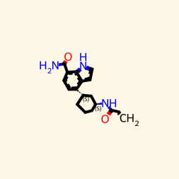 C=CC(=O)N[C@H]1CCC[C@H](c2ccc(C(N)=O)c3[nH]ccc23)C1